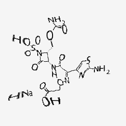 NC(=O)OC[C@@H]1[C@H](NC(=O)/C(=N\OCC(=O)O)c2csc(N)n2)C(=O)N1S(=O)(=O)O.[NaH]